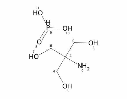 NC(CO)(CO)CO.O=[PH](O)O